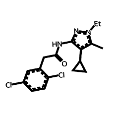 CCn1nc(NC(=O)Cc2cc(Cl)ccc2Cl)c(C2CC2)c1C